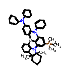 CC12CCCCC1(C)N1c3cc(S(C)(C)C)cc4c3B(c3ccc(N(c5ccccc5)c5ccccc5)cc3N4c3ccccc3)c3cccc2c31